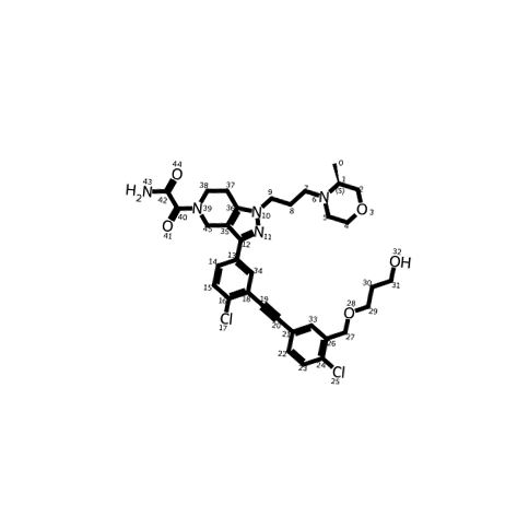 C[C@H]1COCCN1CCCn1nc(-c2ccc(Cl)c(C#Cc3ccc(Cl)c(COCCCO)c3)c2)c2c1CCN(C(=O)C(N)=O)C2